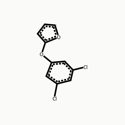 Clc1cc(Cl)cc(Oc2cc[c]o2)c1